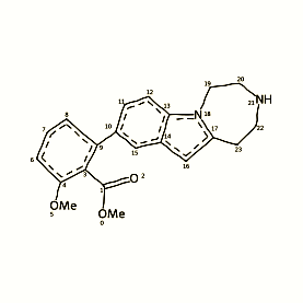 COC(=O)c1c(OC)cccc1-c1ccc2c(c1)cc1n2CCNCC1